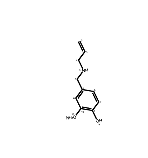 C=CCNCc1ccc(O)c(OC)c1